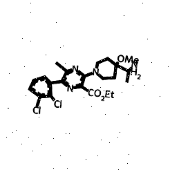 CCOC(=O)c1nc(-c2cccc(Cl)c2Cl)c(C)nc1N1CCC(OC)(C(C)N)CC1